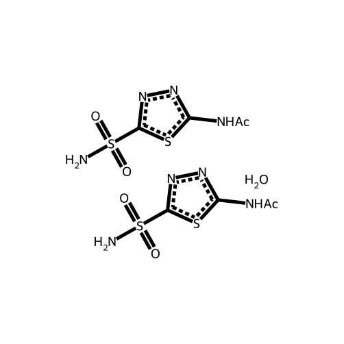 CC(=O)Nc1nnc(S(N)(=O)=O)s1.CC(=O)Nc1nnc(S(N)(=O)=O)s1.O